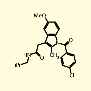 COc1ccc2c(c1)c(CC(=O)NCC(C)C)c(C)n2C(=O)c1ccc(Cl)cc1